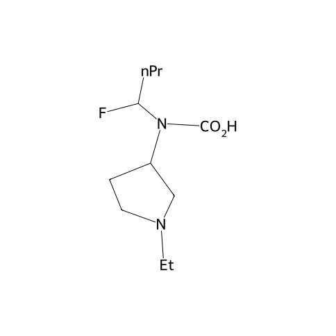 CCCC(F)N(C(=O)O)C1CCN(CC)C1